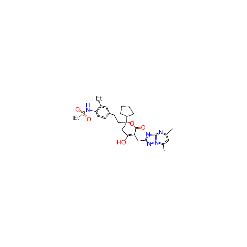 CCc1cc(CCC2(C3CCCC3)CC(O)=C(Cc3nc4nc(C)cc(C)n4n3)C(=O)O2)ccc1NS(=O)(=O)CC